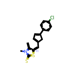 C=c1/c(=C\C2=CC=C(c3ccc(Cl)cc3)C2)sc(=S)n1C